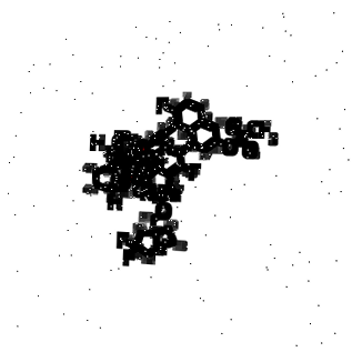 CC(C)[Si](C#Cc1c(F)ccc2cc(OS(=O)(=O)C(F)(F)F)cc(-c3nc4c5c(nc(OC[C@]67CCN6CC(F)(F)C7)nc5c3F)N3C[C@H]5CC[C@@H]([C@H]3[C@H](C)O4)N5C(=O)OC(C)(C)C)c12)(C(C)C)C(C)C